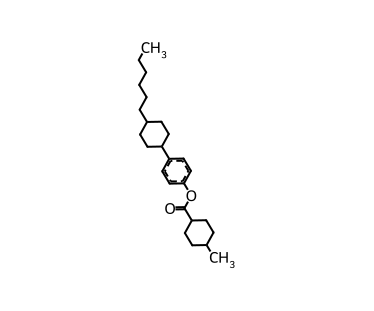 CCCCCCC1CCC(c2ccc(OC(=O)C3CCC(C)CC3)cc2)CC1